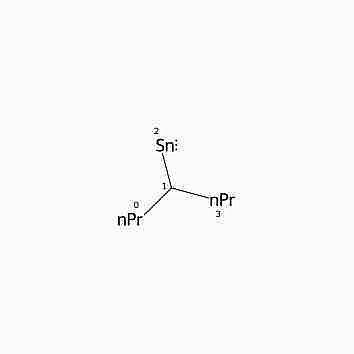 CCC[CH]([Sn])CCC